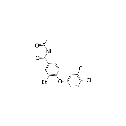 CCc1cc(C(=O)N[S+](C)[O-])ccc1Oc1ccc(Cl)c(Cl)c1